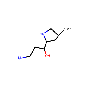 CSC1CNC(C(O)CCN)C1